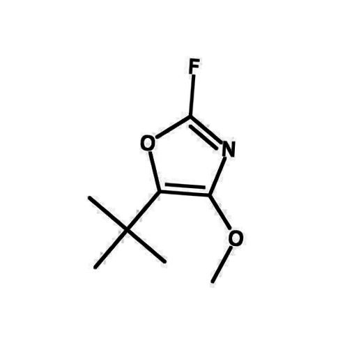 COc1nc(F)oc1C(C)(C)C